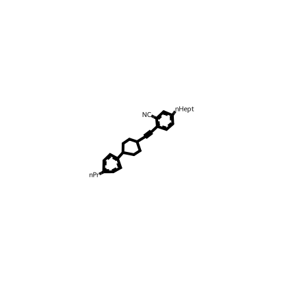 CCCCCCCc1ccc(C#CC2CCC(c3ccc(CCC)cc3)CC2)c(C#N)c1